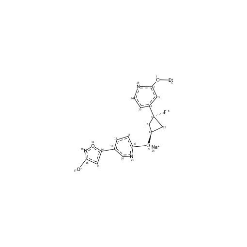 CCOc1cc([C@]2(F)C[C@H](Oc3ccc(-c4cc([O-])no4)cn3)C2)ccn1.[Na+]